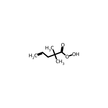 C=CCC(C)(C)C(=O)OO